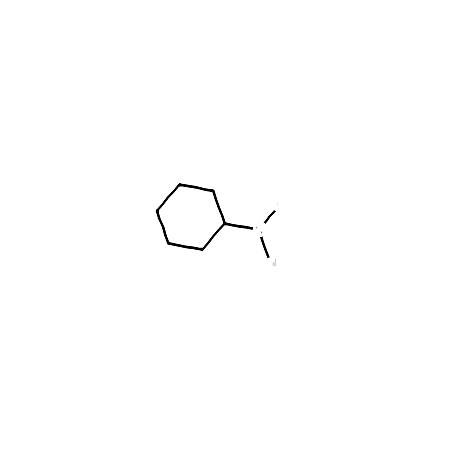 CCCN(O)C1CCCCC1